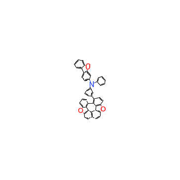 c1ccc(N(c2cccc(-c3ccc4oc5ccc6ccc7oc8cccc9c8c7c6c5c4c3-9)c2)c2ccc3c(c2)oc2ccccc23)cc1